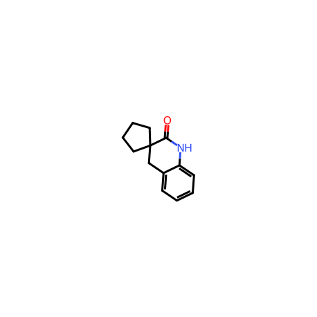 O=C1Nc2ccccc2CC12CCCC2